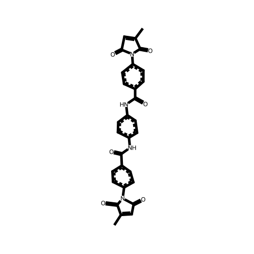 CC1=CC(=O)N(c2ccc(C(=O)Nc3ccc(NC(=O)c4ccc(N5C(=O)C=C(C)C5=O)cc4)cc3)cc2)C1=O